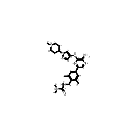 Cc1cc(-c2cnc(N)c(Oc3cnn(C4CCN(C)CC4)c3)n2)cc(C)c1CNC(=O)N(C)C